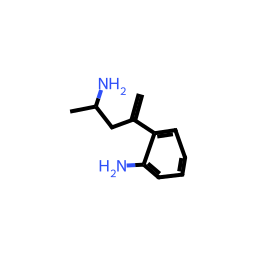 C=C(CC(C)N)c1ccccc1N